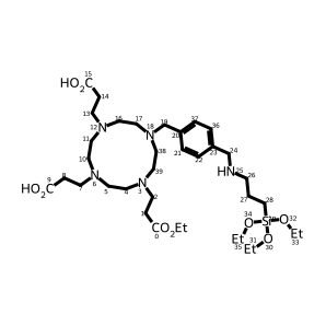 CCOC(=O)CCN1CCN(CCC(=O)O)CCN(CCC(=O)O)CCN(Cc2ccc(CNCCC[Si](OCC)(OCC)OCC)cc2)CC1